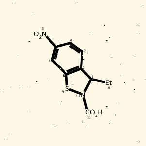 CCC1c2ccc([N+](=O)[O-])cc2SN1C(=O)O